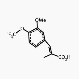 COc1cc(/C=C(\C)C(=O)O)ccc1OC(F)(F)F